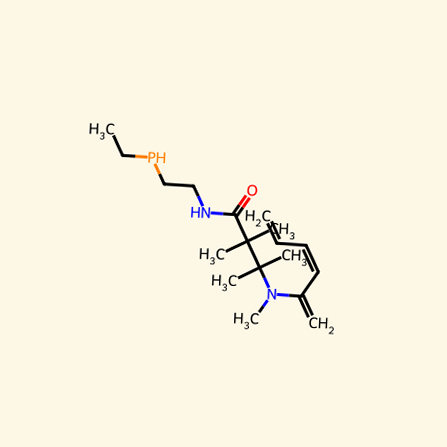 C=C/C=C\C(=C)N(C)C(C)(C)C(C)(C)C(=O)NCCPCC